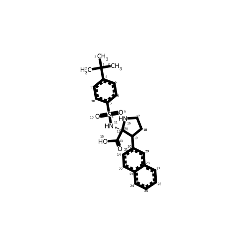 CC(C)(C)c1ccc(S(=O)(=O)N[C@]2(C(=O)O)NCCC2c2ccc3ccccc3c2)cc1